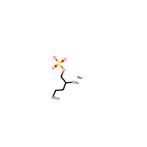 CCCCCCCCCCC(COS(=O)(=O)[O-])OC(C)=O.[Na+]